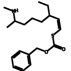 CCC(/C=C\SC(=O)OCc1ccccc1)CCCC(C)NC